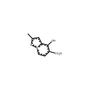 CCOC(=O)c1ccn2nc(C)cc2c1O